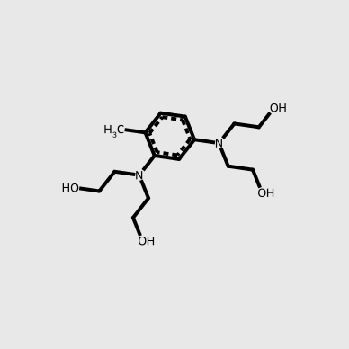 Cc1ccc(N(CCO)CCO)cc1N(CCO)CCO